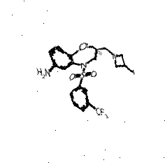 Nc1ccc2c(c1)N(S(=O)(=O)c1cccc(C(F)(F)F)c1)C[C@H](CN1CC(I)C1)O2